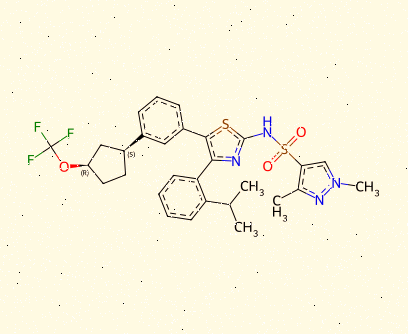 Cc1nn(C)cc1S(=O)(=O)Nc1nc(-c2ccccc2C(C)C)c(-c2cccc([C@H]3CC[C@@H](OC(F)(F)F)C3)c2)s1